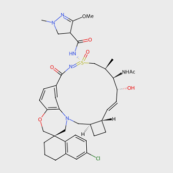 COC1=NN(C)CC1C(=O)N[S@@]1(=O)=NC(=O)c2ccc3c(c2)N(C[C@@H]2CC[C@H]2/C=C/[C@@H](O)[C@H](NC(C)=O)[C@H](C)C1)C[C@@]1(CCCc2cc(Cl)ccc21)CO3